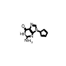 Nc1nc2c(ncn2C2C=CC=C2)c(=O)[nH]1